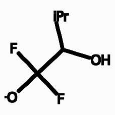 CC(C)C(O)C([O])(F)F